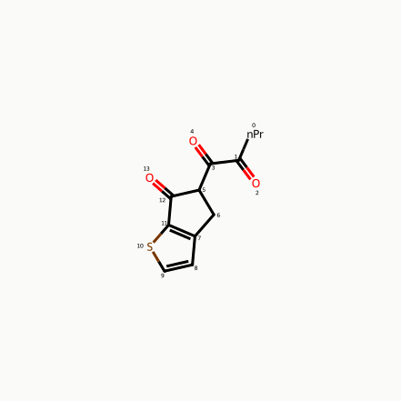 CCCC(=O)C(=O)C1Cc2ccsc2C1=O